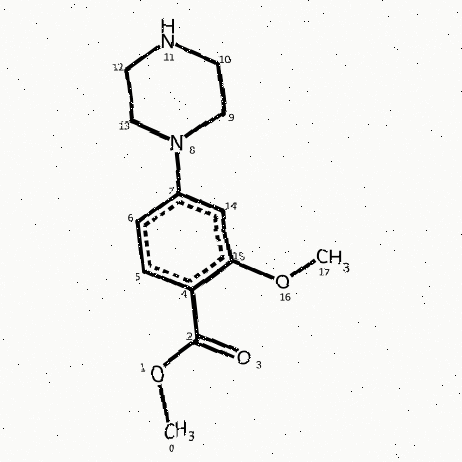 COC(=O)c1ccc(N2CCNCC2)cc1OC